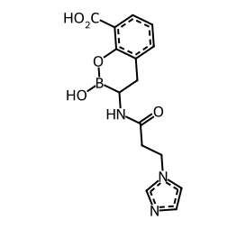 O=C(CCn1ccnc1)NC1Cc2cccc(C(=O)O)c2OB1O